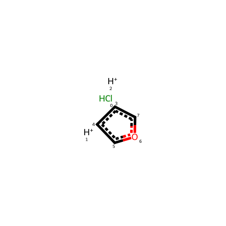 Cl.[H+].[H+].c1ccoc1